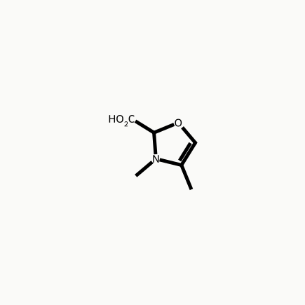 CC1=COC(C(=O)O)N1C